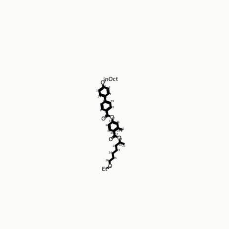 CCCCCCCCOc1ccc(-c2ccc(C(=O)Oc3ccc(C(=O)OC(C)CCCCCOCC)c(F)c3)cc2)cc1